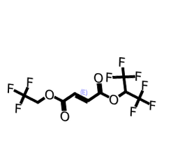 O=C(/C=C/C(=O)OC(C(F)(F)F)C(F)(F)F)OCC(F)(F)F